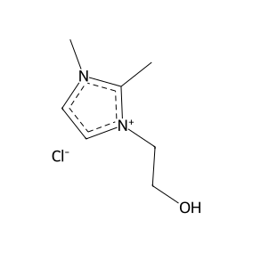 Cc1n(C)cc[n+]1CCO.[Cl-]